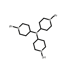 CC(C)N1CCC(N(C2CCN(S)CC2)C2CCN(C(C)C)CC2)CC1